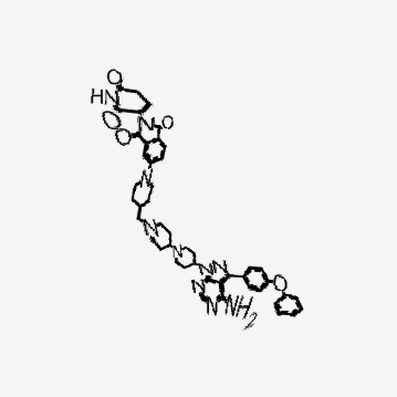 Nc1ncnc2c1c(-c1ccc(Oc3ccccc3)cc1)nn2C1CCN(C2CCN(CC3CCN(c4ccc5c(c4)C(=O)N([C@H]4CCC(=O)NC4=O)C5=O)CC3)CC2)CC1